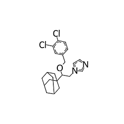 Clc1ccc(COC(Cn2ccnc2)C23CC4CC(CC(C4)C2)C3)cc1Cl